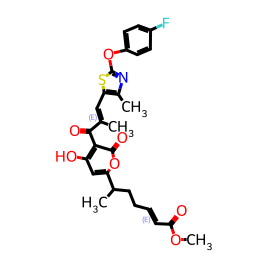 COC(=O)/C=C/CCC(C)c1cc(O)c(C(=O)/C(C)=C/c2sc(Oc3ccc(F)cc3)nc2C)c(=O)o1